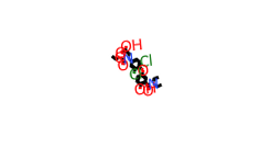 CCOC(=O)N(CC(=O)O)c1cc(Cl)c(Oc2ccc(O)c(C(=O)N(CC)CC)c2)c(Cl)c1